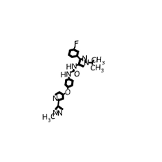 CC(C)n1cc(NC(=O)Nc2ccc(Oc3ccnc(-c4cnn(C)c4)c3)cc2)c(-c2cccc(F)c2)n1